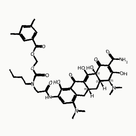 CCCCN(CC(=O)Nc1cc(N(C)C)c2c(c1O)C(=O)C1=C(O)[C@]3(O)C(=O)C(C(N)=O)=C(O)[C@@H](N(C)C)[C@@H]3C[C@@H]1C2)C(=O)OCOC(=O)c1cc(C)cc(C)c1